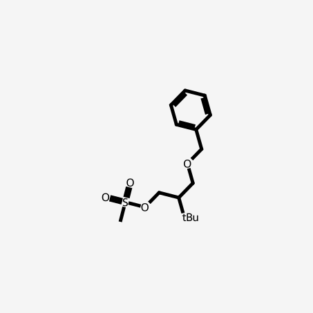 CC(C)(C)C(COCc1ccccc1)COS(C)(=O)=O